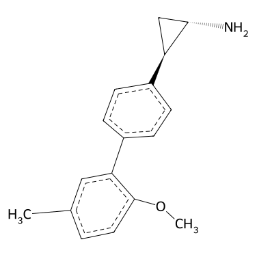 COc1ccc(C)cc1-c1ccc([C@H]2C[C@@H]2N)cc1